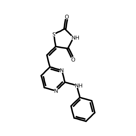 O=C1NC(=O)/C(=C\c2ccnc(Nc3ccccc3)n2)S1